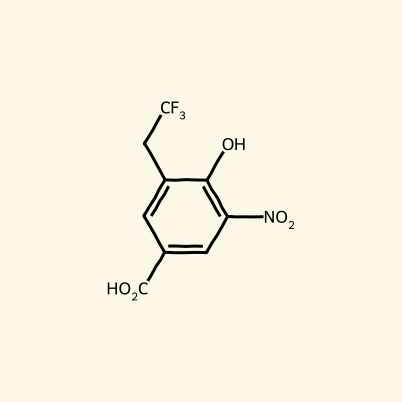 O=C(O)c1cc(CC(F)(F)F)c(O)c([N+](=O)[O-])c1